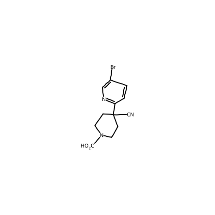 N#CC1(c2ccc(Br)cn2)CCN(C(=O)O)CC1